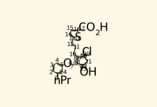 CCCc1cccc(OC[C@@H]2[C@@H](CCCc3ccc(C(=O)O)s3)[C@@H](Cl)C[C@H]2O)c1